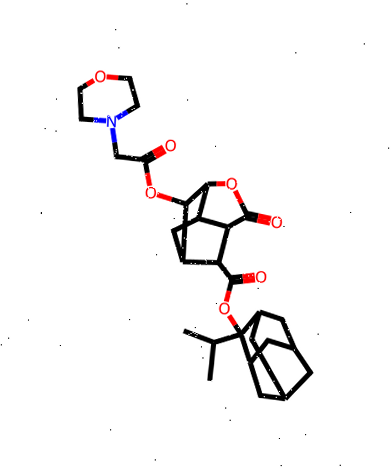 CC(C)C1(OC(=O)C2C3CC4C(OC(=O)C42)C3OC(=O)CN2CCOCC2)C2CC3CC(C2)CC1C3